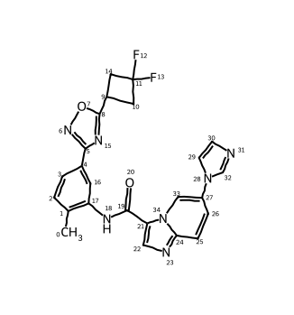 Cc1ccc(-c2noc(C3CC(F)(F)C3)n2)cc1NC(=O)c1cnc2ccc(-n3ccnc3)cn12